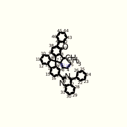 C=C1/C(=C\C=C/C)C2(c3ccccc3-c3ccc(-c4nc(-c5ccccc5)c5ccccc5n4)cc32)c2ccc3c(oc4ccccc43)c21